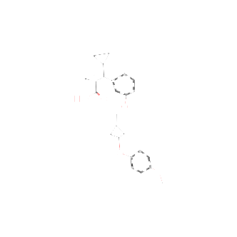 COc1ccc(OC2CC(COc3cccc(C(C4CC4)[C@H](C)C(=O)O)c3)C2)cc1